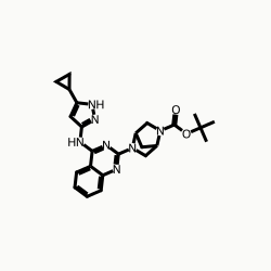 CC(C)(C)OC(=O)N1CC2CC1CN2c1nc(Nc2cc(C3CC3)[nH]n2)c2ccccc2n1